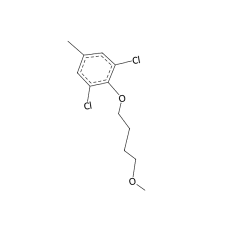 COCCCCOc1c(Cl)cc(C)cc1Cl